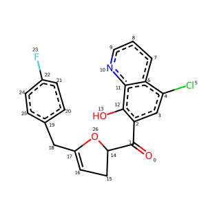 O=C(c1cc(Cl)c2cccnc2c1O)C1CC=C(Cc2ccc(F)cc2)O1